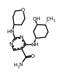 C[C@@H]1CC[C@@H](Nc2nc(NC3CCOCC3)ncc2C(N)=O)C[C@H]1O